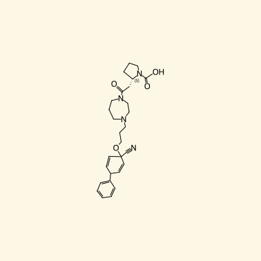 N#CC1(OCCCN2CCCN(C(=O)C[C@@H]3CCCN3C(=O)O)CC2)C=CC(c2ccccc2)C=C1